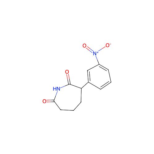 O=C1CCCC(c2cccc([N+](=O)[O-])c2)C(=O)N1